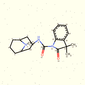 CN1C2CCCC1CC(NC(=O)N1C(=O)C(C)(C)c3ccccc31)C2